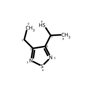 CCc1nsnc1C(C)S